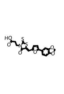 O=C(O)CCN1C(=O)C(=Cc2ccc(-c3ccc4c(c3)OCO4)o2)SC1=S